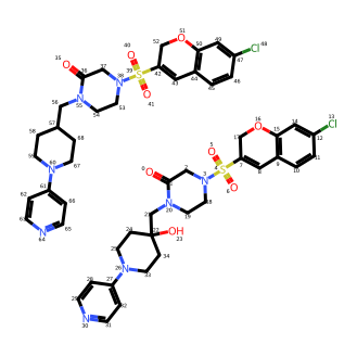 O=C1CN(S(=O)(=O)C2=Cc3ccc(Cl)cc3OC2)CCN1CC1(O)CCN(c2ccncc2)CC1.O=C1CN(S(=O)(=O)C2=Cc3ccc(Cl)cc3OC2)CCN1CC1CCN(c2ccncc2)CC1